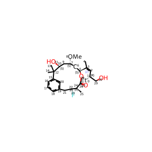 CC[C@H](/C=C(/C)[C@@H]1C[C@@H](OC)C[C@H](O)C(C)(C)c2cccc(c2)C[C@@H](F)[C@H](C)C(=O)O1)CO